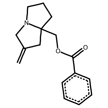 C=C1CN2CCCC2(COC(=O)c2ccccc2)C1